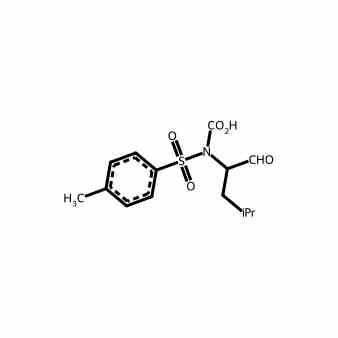 Cc1ccc(S(=O)(=O)N(C(=O)O)C(C=O)CC(C)C)cc1